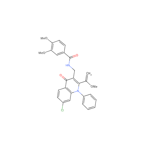 C=C(OC)c1c(CNC(=O)c2ccc(OC)c(OC)c2)c(=O)c2ccc(Cl)cc2n1-c1ccccc1